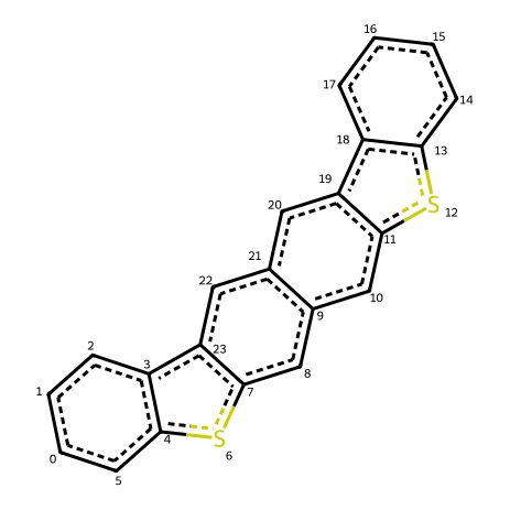 c1ccc2c(c1)sc1cc3cc4sc5ccccc5c4cc3cc12